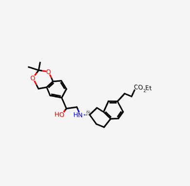 CCOC(=O)CCc1ccc2c(c1)C[C@@H](NCC(O)c1ccc3c(c1)COC(C)(C)O3)CC2